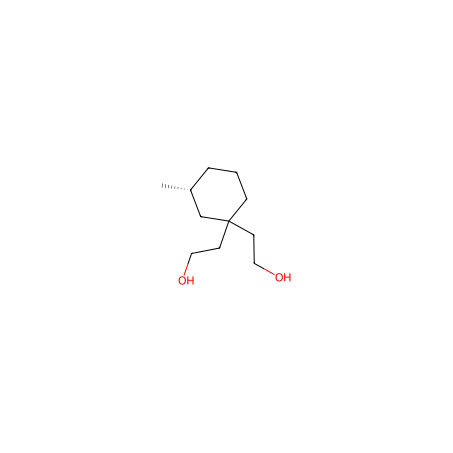 C[C@@H]1CCCC(CCO)(CCO)C1